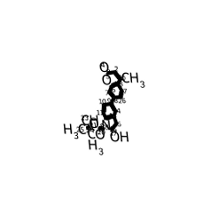 Cc1cc(=O)oc2cc(-c3ccc4c(c3)CC(O)N4C(=O)OC(C)(C)C)ccc12